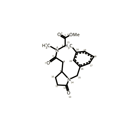 COC(=O)CN(C)C(=O)CC1CCC(=O)N1Cc1cccc(C)c1